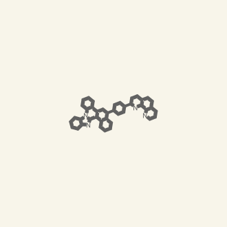 c1cnc2c(c1)ccc1ccc(-c3ccc(-c4cc5c6ccccc6n6c7ccccc7nc6c5c5ccccc45)cc3)nc12